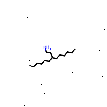 CCCCCCC(CCN)CCCCCC